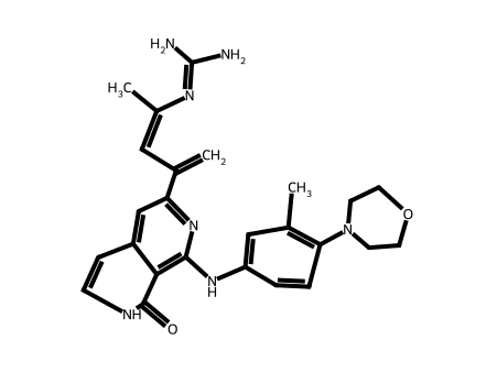 C=C(/C=C(/C)N=C(N)N)c1cc2cc[nH]c(=O)c2c(Nc2ccc(N3CCOCC3)c(C)c2)n1